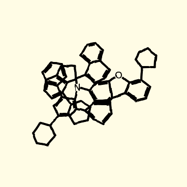 c1cccc(-c2cc(C3CCCCC3)cc(-c3ccccc3)c2N(c2ccc3c(c2)oc2c(C4CCCCC4)cccc23)C2(c3cccc4ccccc34)CCc3cccc(C4CCCCC4)c32)c#1